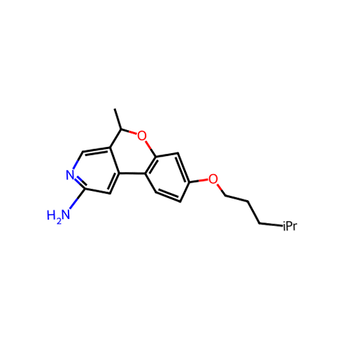 CC(C)CCCOc1ccc2c(c1)OC(C)c1cnc(N)cc1-2